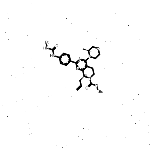 C=CC[C@H]1c2nc(-c3ccc(NC(=O)NCC)cc3)nc(N3CCOC[C@@H]3C)c2CCN1C(=O)OC(C)(C)C